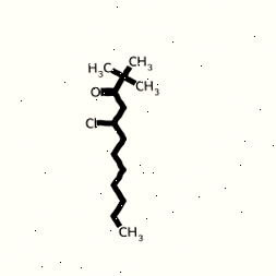 CCCCCCCC(Cl)CC(=O)C(C)(C)C